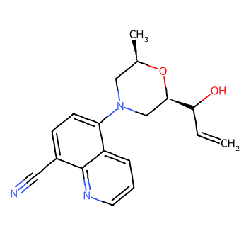 C=CC(O)[C@H]1CN(c2ccc(C#N)c3ncccc23)C[C@@H](C)O1